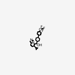 O[C@@H](c1c(C2CC2)ccc2cncn12)C1CCC(c2ccc(OC(F)(F)F)cc2)CC1